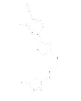 Cc1nc(C(=O)NC(C)Cn2ccc(-c3ccc(C#N)c(Cl)c3)n2)cn1C